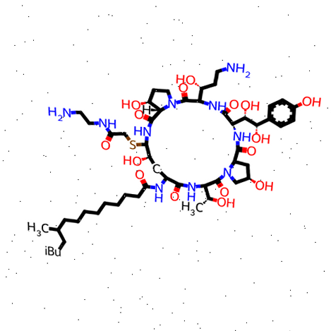 CCC(C)CC(C)CCCCCCCCC(=O)NC1C[C@@H](O)C(SCC(=O)NCCN)NC(=O)[C@@H]2[C@@H](O)CCN2C(=O)C([C@H](O)CCN)NC(=O)[C@H]([C@H](O)[C@@H](O)c2ccc(O)cc2)NC(=O)C2C[C@@H](O)CN2C(=O)C([C@@H](C)O)NC1=O